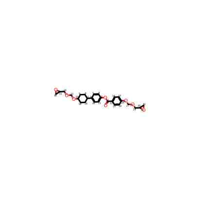 O=C(Oc1ccc(C2CCC(OCOCC3CO3)CC2)cc1)c1ccc(OCOCC2CO2)cc1